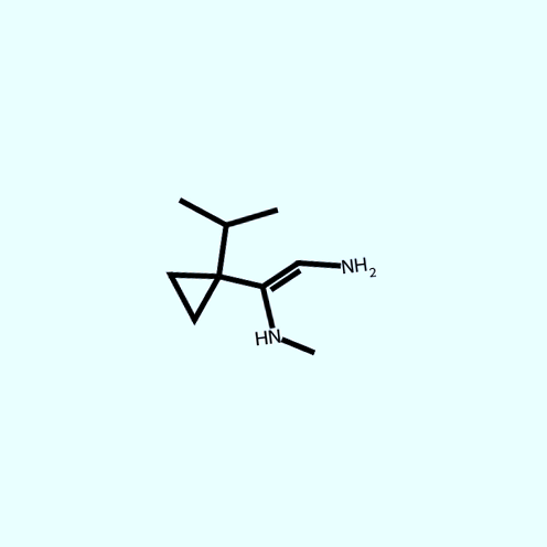 CN/C(=C\N)C1(C(C)C)CC1